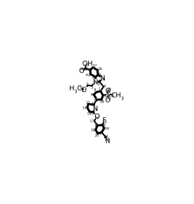 COCCn1c(Cc2ccc(-c3cccc(OCc4ccc(C#N)cc4F)n3)cc2S(C)(=O)=O)nc2ccc(C(=O)O)cc21